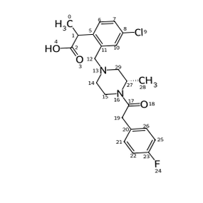 CC(C(=O)O)c1ccc(Cl)cc1CN1CCN(C(=O)Cc2ccc(F)cc2)[C@@H](C)C1